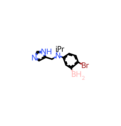 Bc1cc(N(Cc2cnc[nH]2)C(C)C)ccc1Br